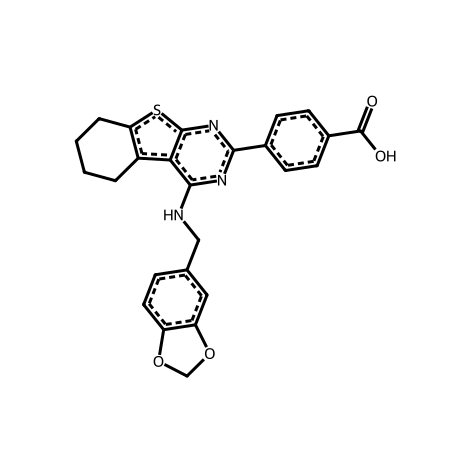 O=C(O)c1ccc(-c2nc(NCc3ccc4c(c3)OCO4)c3c4c(sc3n2)CCCC4)cc1